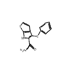 NC(=O)c1[nH]c2sccc2c1Sc1ccccc1